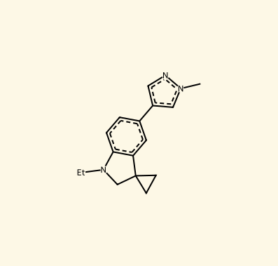 CCN1CC2(CC2)c2cc(-c3cnn(C)c3)ccc21